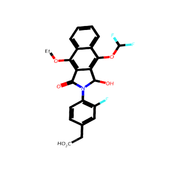 CCOc1c2c(c(OC(F)F)c3ccccc13)C(O)N(c1ccc(CC(=O)O)cc1F)C2=O